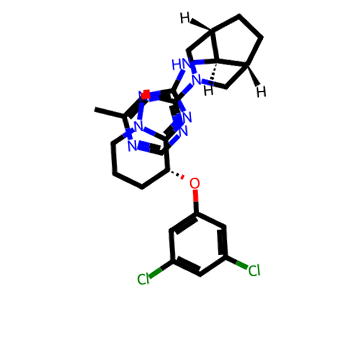 Cc1cc(N2C[C@H]3CC[C@@H](C2)[C@@H]3Nc2nc3n(n2)CCC[C@H]3Oc2cc(Cl)cc(Cl)c2)ncn1